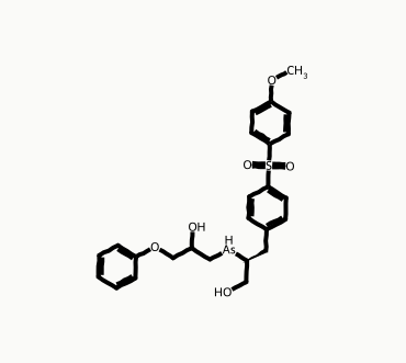 COc1ccc(S(=O)(=O)c2ccc(C[C@@H](CO)[AsH]CC(O)COc3ccccc3)cc2)cc1